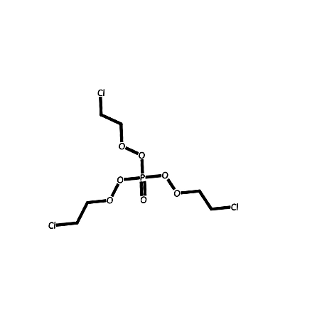 O=P(OOCCCl)(OOCCCl)OOCCCl